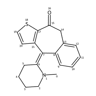 CN1CCCCC1=C1c2ccccc2CC(=O)c2sccc21